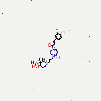 CC1(C)CN(CCCN2CCN(C(=O)/C=C/c3ccc(Cl)c(Cl)c3)CCC2=O)CCC1O